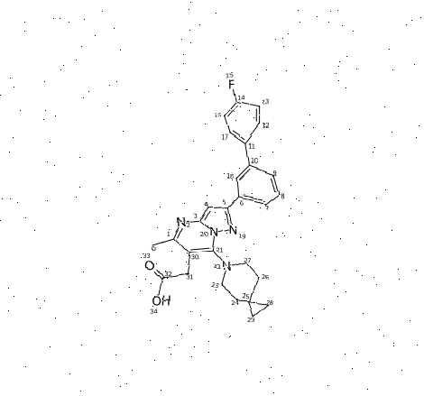 Cc1nc2cc(-c3cccc(-c4ccc(F)cc4)c3)nn2c(N2CCC3(CC2)CC3)c1CC(=O)O